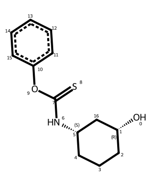 O[C@@H]1CCC[C@H](NC(=S)Oc2ccccc2)C1